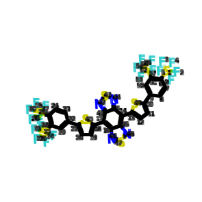 FS(F)(F)(F)(F)c1ccc(-c2ccc(-c3c4c(c(-c5ccc(-c6ccc(S(F)(F)(F)(F)F)c(S(F)(F)(F)(F)F)c6)s5)c5nsnc35)N=S=N4)s2)cc1S(F)(F)(F)(F)F